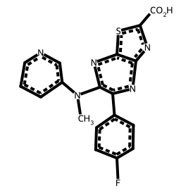 CN(c1cccnc1)c1nc2sc(C(=O)O)nc2nc1-c1ccc(F)cc1